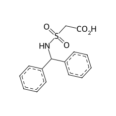 O=C(O)CS(=O)(=O)NC(c1ccccc1)c1ccccc1